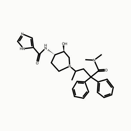 CC(CC(C(=O)N(C)C)(c1ccccc1)c1ccccc1)N1CC[C@H](NC(=O)c2cnc[nH]2)[C@@H](O)C1